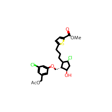 COC(=O)c1ccc(CCCC2[C@H](Cl)C[C@@H](O)[C@@H]2COc2cc(Cl)cc(COC(C)=O)c2)s1